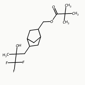 CC(C)(C)C(=O)OCC1CC2CC1CC2CC(C)(O)C(F)(F)F